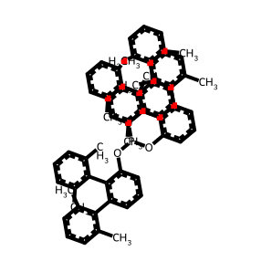 Cc1cccc(C)c1-c1cccc(OP(Oc2cccc(-c3c(C)cccc3C)c2-c2c(C)cccc2C)Oc2cccc(-c3c(C)cccc3C)c2-c2c(C)cccc2C)c1-c1c(C)cccc1C